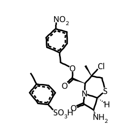 C[C@@]1(Cl)CS[C@H]2[C@H](N)C(=O)N2[C@H]1C(=O)OCc1ccc([N+](=O)[O-])cc1.Cc1ccc(S(=O)(=O)O)cc1